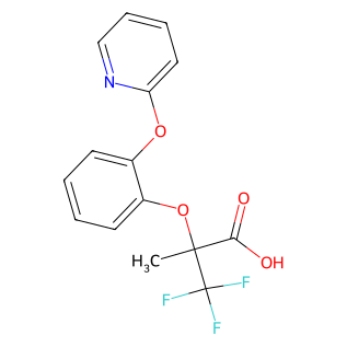 CC(Oc1ccccc1Oc1ccccn1)(C(=O)O)C(F)(F)F